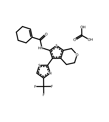 O=C(Nc1sc2c(c1-c1nc(C(F)(F)F)cs1)CCOC2)C1=CCCCC1.O=C(O)O